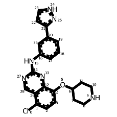 Clc1ccc(OC2CCNCC2)c2nc(Nc3cccc(-c4cc[nH]n4)c3)ncc12